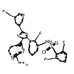 Nc1nccc(-c2sc(-c3cncc(F)c3)nc2-c2cccc(NS(=O)(=O)c3c(F)cccc3F)c2F)n1